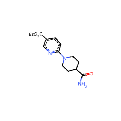 CCOC(=O)c1ccc(N2CCC(C(N)=O)CC2)nc1